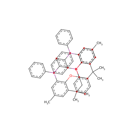 Cc1cc(P(c2ccccc2)c2ccccc2)c2c(c1)C(C)(C)CC1(CC(C)(C)c3cc(C)cc(P(c4ccccc4)c4ccccc4P(c4ccccc4)c4ccccc4)c3O1)O2